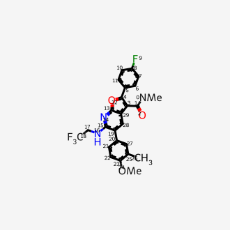 CNC(=O)c1c(-c2ccc(F)cc2)oc2nc(NCC(F)(F)F)c(-c3ccc(OC)c(C)c3)cc12